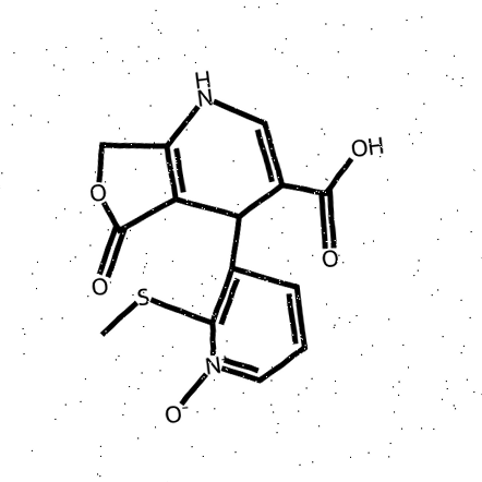 CSc1c(C2C(C(=O)O)=CNC3=C2C(=O)OC3)ccc[n+]1[O-]